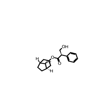 CC(C)C1[C@@H]2CC[C@@H]1CC(OC(=O)[C@@H](CO)c1ccccc1)C2